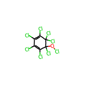 ClOC1(Cl)C(Cl)=C(Cl)C(Cl)=C(Cl)C1(Cl)Cl